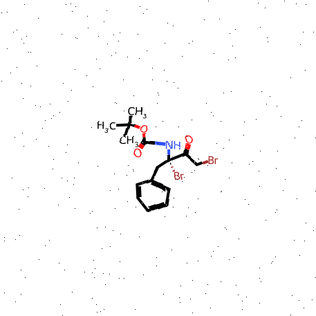 CC(C)(C)OC(=O)N[C@](Br)(Cc1ccccc1)C(=O)CBr